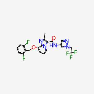 Cc1nc2c(OCc3c(F)cccc3F)cccn2c1C(=O)Nc1cnn(CC(F)(F)F)c1